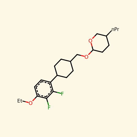 CCCC1CCC(OCC2CCC(c3ccc(OCC)c(F)c3F)CC2)OC1